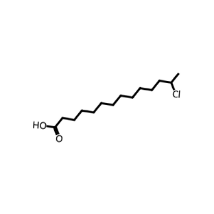 CC(Cl)CCCCCCCCCCCC(=O)O